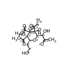 CC(=O)C(O)[C@H]1O[C@@H](CCO)[C@@](O)(C(C)=O)[C@](O)(C(C)=O)[C@]1(O)C(C)=O